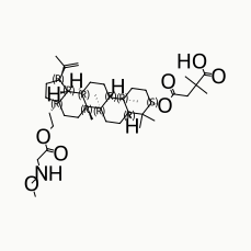 C=C(C)[C@@H]1CC[C@]2(CCOC(=O)CNOC)CC[C@]3(C)[C@H](CC[C@@H]4[C@@]5(C)CC[C@H](OC(=O)CC(C)(C)C(=O)O)C(C)(C)[C@@H]5CC[C@]43C)[C@@H]12